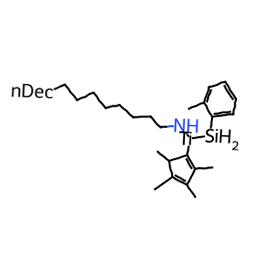 CCCCCCCCCCCCCCCCCC[NH][Ti]([SiH2]c1ccccc1C)[C]1=C(C)C(C)=C(C)C1C